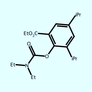 CCOC(=O)c1cc(C(C)C)cc(C(C)C)c1OC(=O)N(CC)CC